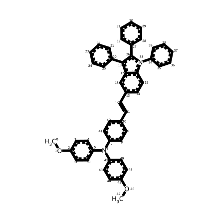 COc1ccc(N(c2ccc(/C=C/c3ccc4c(c3)c(-c3ccccc3)c(-c3ccccc3)n4-c3ccccc3)cc2)c2ccc(OC)cc2)cc1